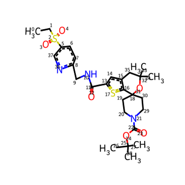 CCS(=O)(=O)c1ccc(CNC(=O)c2cc3c(s2)C2(CCN(C(=O)OC(C)(C)C)CC2)OC(C)(C)C3)nc1